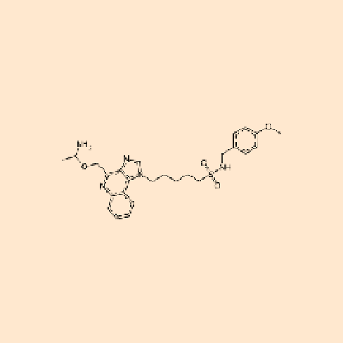 COc1ccc(CNS(=O)(=O)CCCCCn2cnc3c(COC(C)N)nc4ccccc4c32)cc1